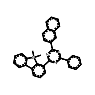 C[Si]1(C)c2ccccc2-c2cccc(-c3nc(-c4ccccc4)nc(-c4ccc5ccccc5c4)n3)c21